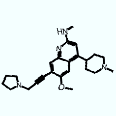 CNc1cc(C2CCN(C)CC2)c2cc(OC)c(C#CCN3CCCC3)cc2n1